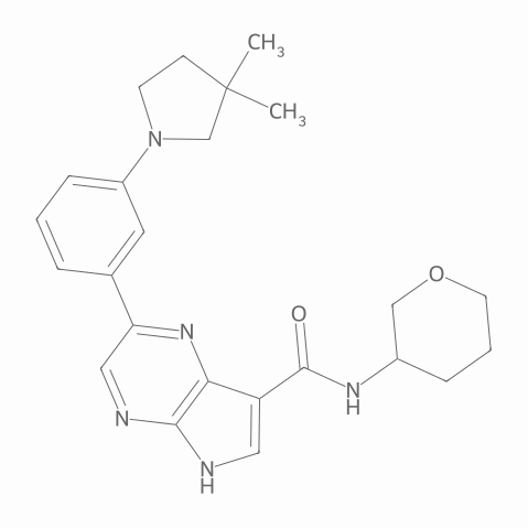 CC1(C)CCN(c2cccc(-c3cnc4[nH]cc(C(=O)NC5CCCOC5)c4n3)c2)C1